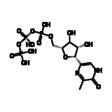 Cc1nc([C@@H]2O[C@H](COP(=O)(O)OP(=O)(O)OP(=O)(O)O)C(O)[C@@H]2O)c[nH]c1=O